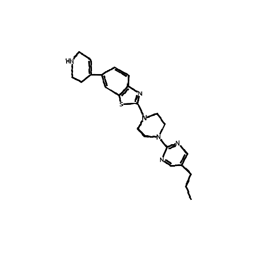 CCCc1cnc(N2CCN(c3nc4ccc(C5=CCNCC5)cc4s3)CC2)nc1